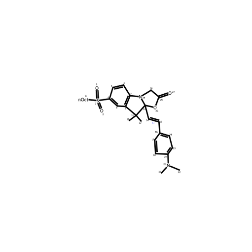 CCCCCCCCS(=O)(=O)c1ccc2c(c1)C(C)(C)C1(/C=C/c3ccc(N(C)C)cc3)OC(=O)CN21